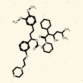 COc1ccc(CCC(OC(=O)[C@H]2CCCCN2C(=O)C(C(O)CC(C)C)C2CCCCC2)c2cccc(OCCN3CCOCC3)c2)cc1OC